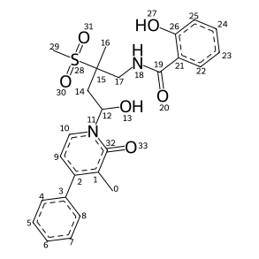 Cc1c(-c2ccccc2)ccn(C(O)CC(C)(CNC(=O)c2ccccc2O)S(C)(=O)=O)c1=O